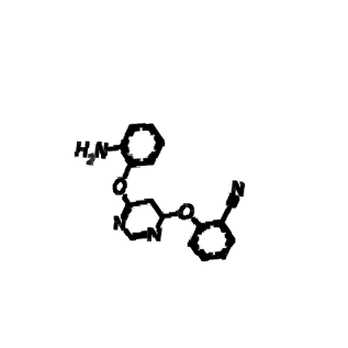 N#Cc1ccccc1OC1CC(Oc2ccccc2N)=NC=N1